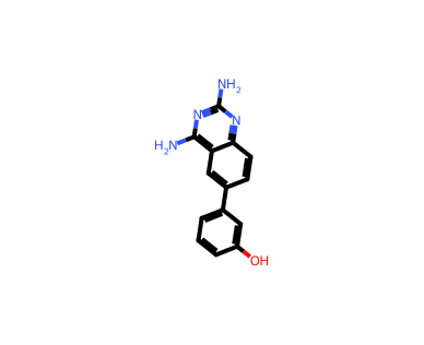 Nc1nc(N)c2cc(-c3cccc(O)c3)ccc2n1